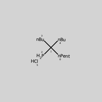 CCCCCC(P)(CCCC)CCCC.Cl